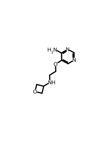 Nc1ncncc1OCCNC1COC1